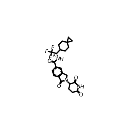 O=C1CCC(N2Cc3cc(C(=O)N[C@H](C4CCC5(CC4)CC5)C(F)(F)F)ccc3C2=O)C(=O)N1